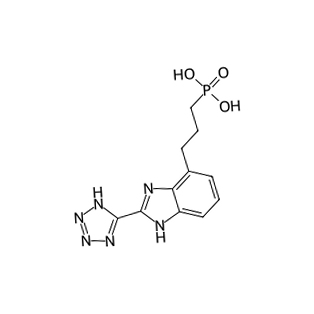 O=P(O)(O)CCCc1cccc2[nH]c(-c3nnn[nH]3)nc12